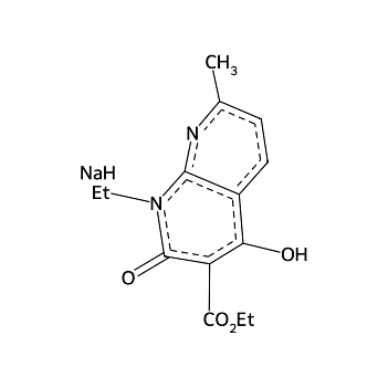 CCOC(=O)c1c(O)c2ccc(C)nc2n(CC)c1=O.[NaH]